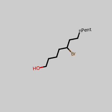 CCCCCCCC(Br)CCCCO